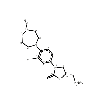 CC(=O)NC[C@H]1CN(c2ccc(N3CCON(C(C)=O)CC3)c(F)c2)C(=O)O1